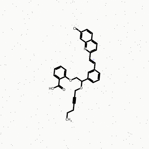 CCCC#CCOC(COc1ccccc1C(=O)O)c1cccc(/C=C/c2ccc3ccc(Cl)cc3n2)c1